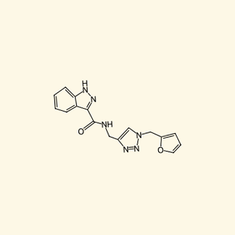 O=C(NCc1cn(Cc2ccco2)nn1)c1n[nH]c2ccccc12